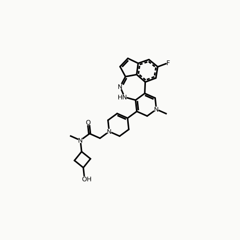 CN1C=C2C(=C(C3=CCN(CC(=O)N(C)C4CC(O)C4)CC3)C1)NN=C1C=Cc3cc(F)cc2c31